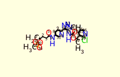 C=C(CCC(=O)Nc1ccc(-c2nnn(C)c2NC(=O)O[C@H](C)c2cccnc2Cl)nc1)OS(C)(=O)=O